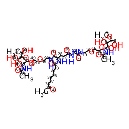 COC(CO)C(O)C(O)C(NC(C)=O)OCCOCCNC(=O)CNC(=O)CCC(NC(=O)CCCCCCC(C)=O)C(=O)NCCOCCOC(OC(CO)C(C)O)C(O)NC(C)=O